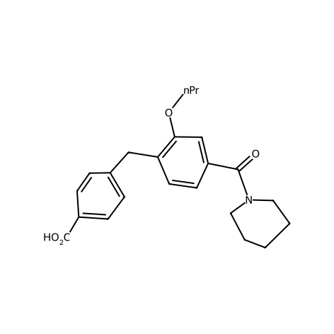 CCCOc1cc(C(=O)N2CCCCC2)ccc1Cc1ccc(C(=O)O)cc1